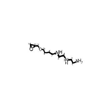 NCCNCCNCCCCOCC1CO1